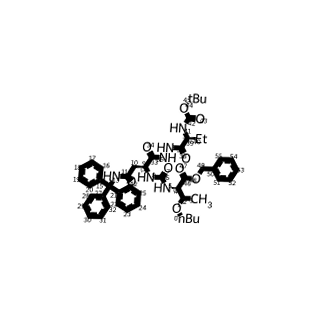 CCCCOC(C)[C@H](NC(=O)N[C@@H](CC(=O)NC(c1ccccc1)(c1ccccc1)c1ccccc1)C(=O)NNC(=O)[C@H](CC)NC(=O)OC(C)(C)C)C(=O)OCc1ccccc1